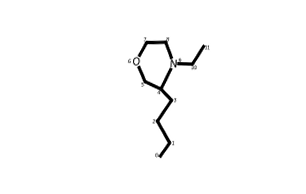 CCCCC1COCCN1CC